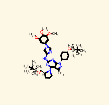 COc1cc(-n2cnc(Nc3nc(N4CCC[C@H]4CO[Si](C)(C)C(C)(C)C)c4c(C)nn([C@H]5CC[C@@H](O[Si](C)(C)C(C)(C)C)CC5)c4n3)c2)cc(OC)c1OC